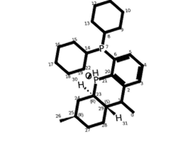 CC1c2cccc(P(C3CCCCC3)C3CCCCC3)c2[PH](=O)[C@@H]2C[C@H](C)CC[C@@H]12